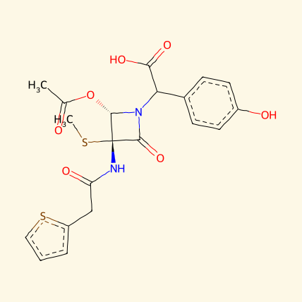 CS[C@@]1(NC(=O)Cc2cccs2)C(=O)N(C(C(=O)O)c2ccc(O)cc2)[C@H]1OC(C)=O